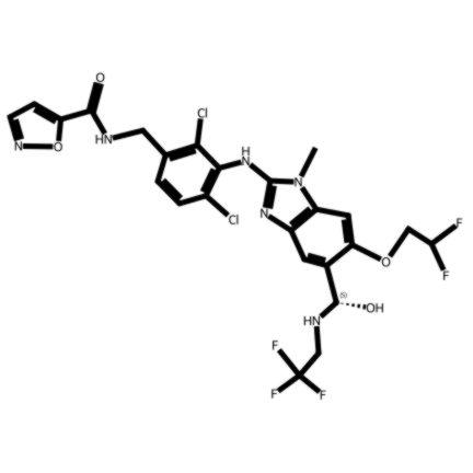 Cn1c(Nc2c(Cl)ccc(CNC(=O)c3ccno3)c2Cl)nc2cc([C@H](O)NCC(F)(F)F)c(OCC(F)F)cc21